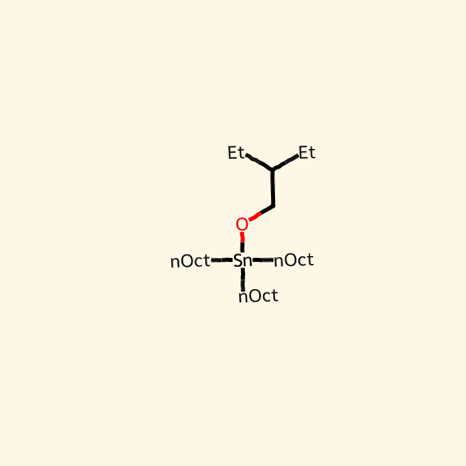 CCCCCCC[CH2][Sn]([CH2]CCCCCCC)([CH2]CCCCCCC)[O]CC(CC)CC